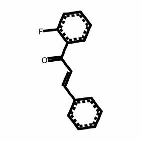 O=C(C=Cc1ccccc1)c1ccccc1F